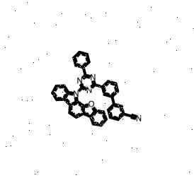 N#Cc1cccc(-c2cccc(-c3nc(-c4ccccc4)nc(-n4c5ccccc5c5ccc6c7ccccc7oc6c54)n3)c2)c1